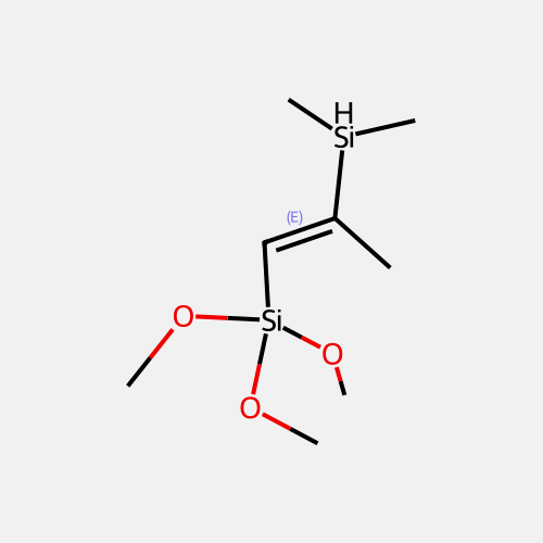 CO[Si](/C=C(\C)[SiH](C)C)(OC)OC